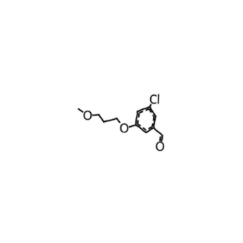 COCCCOc1cc(Cl)cc(C=O)c1